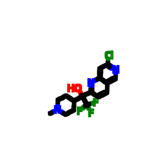 CN1CCC(C(O)(c2ccc3cnc(Cl)cc3n2)C(F)(F)F)CC1